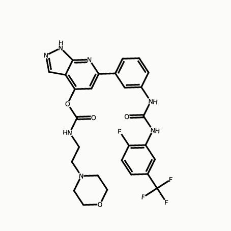 O=C(Nc1cccc(-c2cc(OC(=O)NCCN3CCOCC3)c3cn[nH]c3n2)c1)Nc1cc(C(F)(F)F)ccc1F